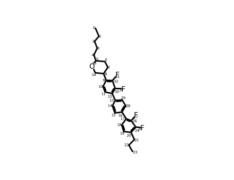 CCCCCC1CCC(c2ccc(-c3ccc(-c4ccc(CCC)c(F)c4F)cc3)c(F)c2F)CO1